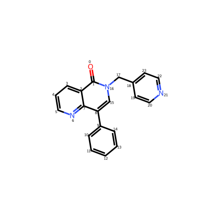 O=c1c2cccnc2c(-c2ccccc2)cn1Cc1ccncc1